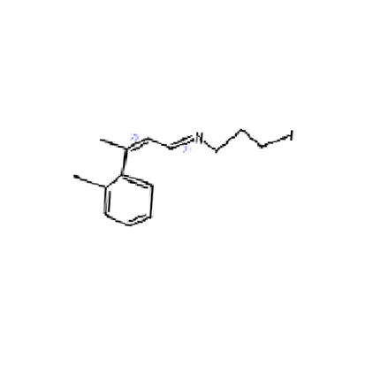 C/C(=C/C=N/CCCI)c1ccccc1C